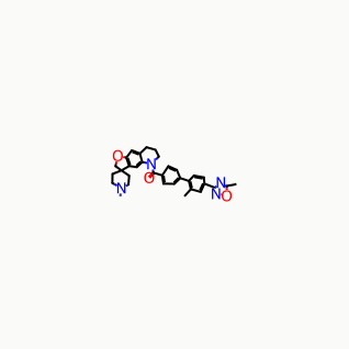 Cc1nc(-c2ccc(-c3ccc(C(=O)N4CCCc5cc6c(cc54)C4(CCN(C)CC4)CO6)cc3)c(C)c2)no1